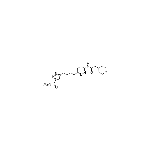 CNC(=O)c1cn(CCCCC2=NN=C(NC(=O)CC3CCOCC3)CC2)nn1